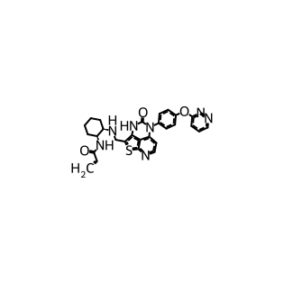 C=CC(=O)N[C@H]1CCCC[C@H]1NCc1sc2nccc3c2c1NC(=O)N3c1ccc(Oc2cccnn2)cc1